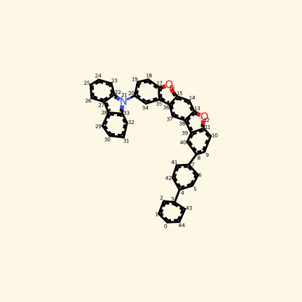 c1ccc(-c2ccc(-c3ccc4oc5cc6oc7ccc(-n8c9ccccc9c9ccccc98)cc7c6cc5c4c3)cc2)cc1